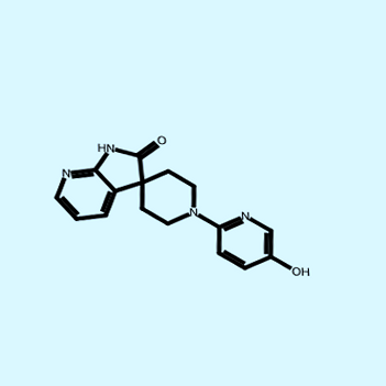 O=C1Nc2ncccc2C12CCN(c1ccc(O)cn1)CC2